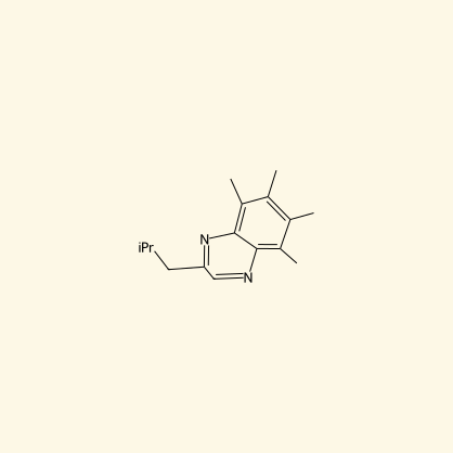 Cc1c(C)c(C)c2nc(CC(C)C)cnc2c1C